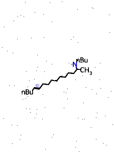 CCCC/C=C/CCCCCCCCC(C)[N]CCCC